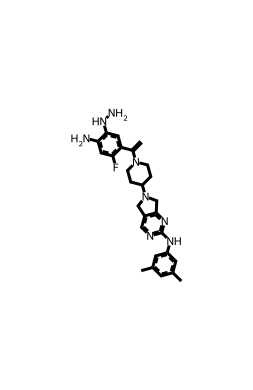 C=C(c1cc(NN)c(N)cc1F)N1CCC(N2Cc3cnc(Nc4cc(C)cc(C)c4)nc3C2)CC1